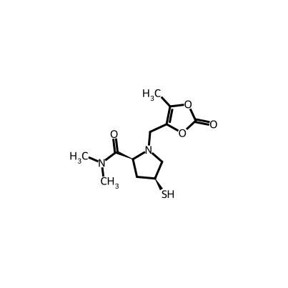 Cc1oc(=O)oc1CN1C[C@@H](S)C[C@H]1C(=O)N(C)C